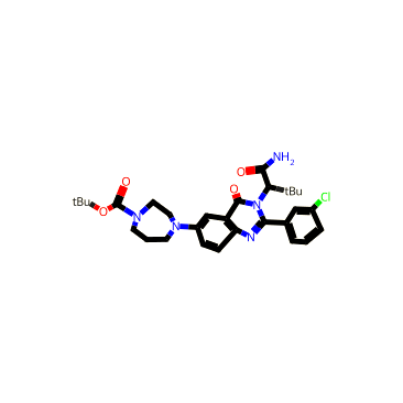 CC(C)(C)OC(=O)N1CCCN(c2ccc3nc(-c4cccc(Cl)c4)n(C(C(N)=O)C(C)(C)C)c(=O)c3c2)CC1